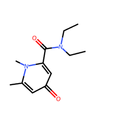 CCN(CC)C(=O)c1cc(=O)cc(C)n1C